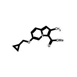 COC(=O)c1c(C)cc2ccc(OCC3CC3)cn12